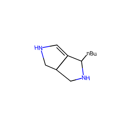 CCCCC1NCC2CNC=C21